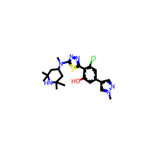 CN(c1nnc(-c2c(O)cc(-c3cnn(C)c3)cc2Cl)s1)C1CC(C)(C)NC(C)(C)C1